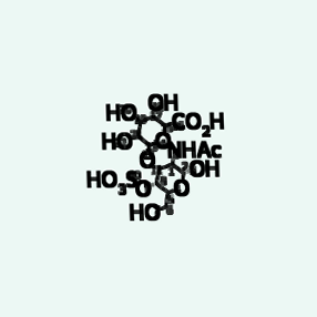 CC(=O)NC1[C@H](O)OC(CO)[C@H](OS(=O)(=O)O)[C@@H]1O[C@@H]1OC(C(=O)O)[C@@H](O)[C@H](O)C1O